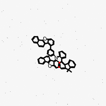 CC1(C)c2ccccc2-c2c(-c3ccccc3N(c3cccc(-c4cccc5oc6c7ccccc7ccc6c45)c3)c3cccc4oc5c6ccccc6ccc5c34)cccc21